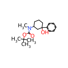 CN(C(=O)OC(C)(C)C)C1CCCC(O)(c2ccccc2)C1